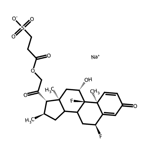 C[C@@H]1CC2C3C[C@H](F)C4=CC(=O)C=C[C@]4(C)[C@@]3(F)[C@@H](O)C[C@]2(C)[C@H]1C(=O)COC(=O)CCS(=O)(=O)[O-].[Na+]